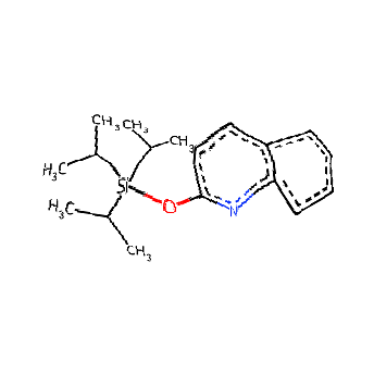 CC(C)[Si](Oc1ccc2ccccc2n1)(C(C)C)C(C)C